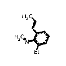 C=Nc1c(C=CC)cccc1CC